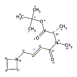 C[C@@H](C(=O)OC(C)(C)C)N(C)C(=O)/C=C/CN1CCC1